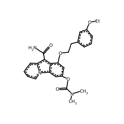 CCOc1cccc(CCOc2cc(OC(=O)N(C)C)cc3c2c(C(N)=O)c2ccccn23)c1